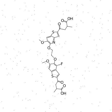 COc1cc2sc(C(=O)CC(C)C(=O)O)cc2nc1OCCOc1c(OC)cc2sc(C(=O)CC(C)C(=O)O)cc2c1F